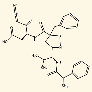 CC(C(=O)N[C@H](C1=NOC(Cc2ccccc2)(C(=O)N[C@@H](CC(=O)O)C(=O)C=[N+]=[N-])C1)C(C)C)c1ccccc1